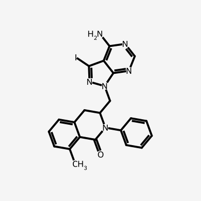 Cc1cccc2c1C(=O)N(c1ccccc1)C(Cn1nc(I)c3c(N)ncnc31)C2